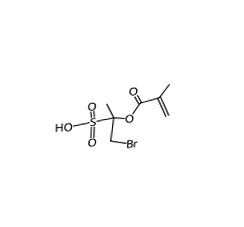 C=C(C)C(=O)OC(C)(CBr)S(=O)(=O)O